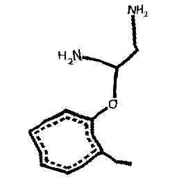 Cc1ccccc1OC(N)CN